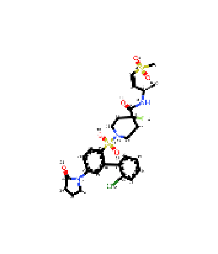 C[C@H](/C=C\S(C)(=O)=O)NC(=O)C1(F)CCN(S(=O)(=O)c2ccc(N3CCCC3=O)cc2-c2ccccc2Cl)CC1